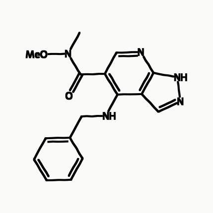 CON(C)C(=O)c1cnc2[nH]ncc2c1NCc1ccccc1